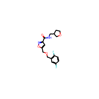 O=C(NCC1CCOC1)c1cc(COCc2cc(F)ccc2F)on1